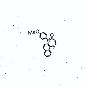 COc1ccc(N2C(=O)C=CSc3c2ccc2ccccc32)cc1